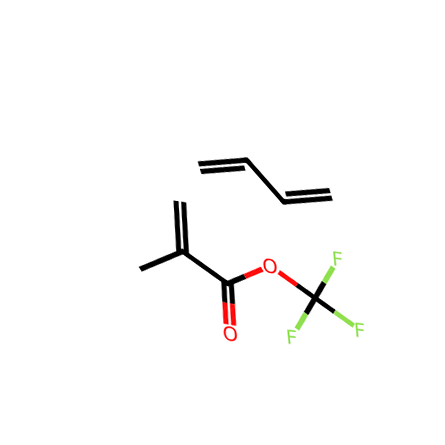 C=C(C)C(=O)OC(F)(F)F.C=CC=C